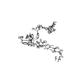 C[Si](C)(C)CCOCn1c(O[C@@H]2CO[C@H]3[C@@H]2OC[C@H]3O)nc2nc(-c3ccc(C4CCN(CC(F)(F)F)C4)cc3)c(Cl)cc21.O=P([O-])([O-])[O-].[K+].[K+].[K+]